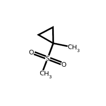 CC1(S(C)(=O)=O)CC1